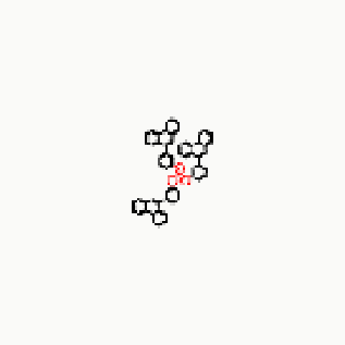 c1cc(OB(Oc2cccc(-c3cc4ccccc4c4ccccc34)c2)Oc2cccc(-c3cc4ccccc4c4ccccc34)c2)cc(-c2cc3ccccc3c3ccccc23)c1